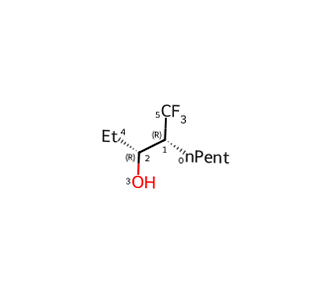 CCCCC[C@H]([C@H](O)CC)C(F)(F)F